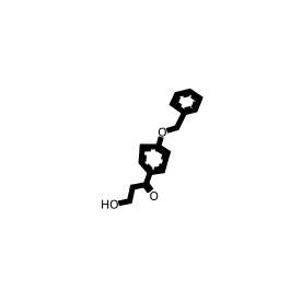 O=C(CCO)c1ccc(OCc2ccccc2)cc1